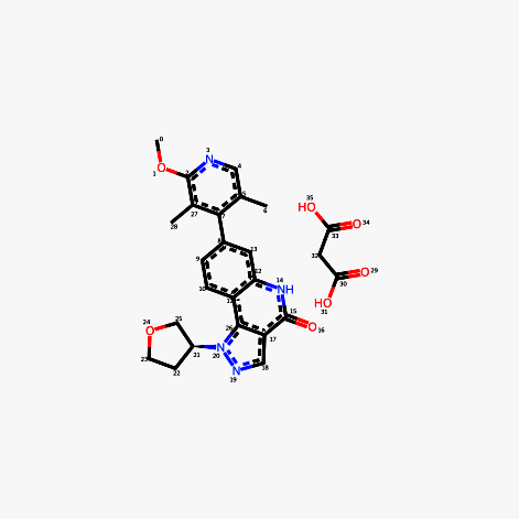 COc1ncc(C)c(-c2ccc3c(c2)[nH]c(=O)c2cnn([C@H]4CCOC4)c23)c1C.O=C(O)CC(=O)O